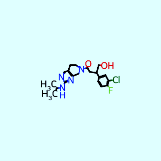 CC(C)Nc1ncc2c(n1)CN(C(=O)CC(CO)c1ccc(F)c(Cl)c1)CC2